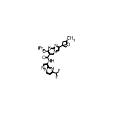 CC(C)Oc1nc2nc(C34COC(C)(C3)C4)cn2cc1C(=O)Nc1cnn2ccc(C(F)F)nc12